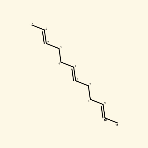 [CH2]C=CCCC=CCCC=CC